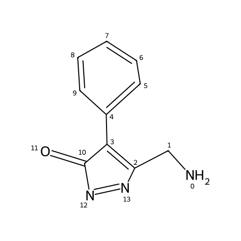 NCC1=C(c2ccccc2)C(=O)N=N1